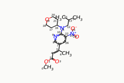 COC(=O)/C=C(\C)c1cnc(N(CC(C)C)C2CCOCC2)c([N+](=O)[O-])c1